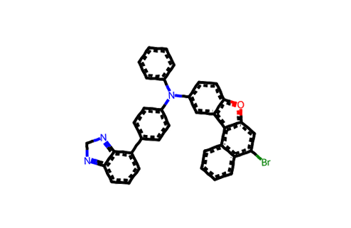 Brc1cc2oc3ccc(N(c4ccccc4)c4ccc(-c5cccc6c5=NCN=6)cc4)cc3c2c2ccccc12